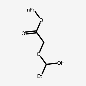 CCCOC(=O)COC(O)CC